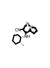 [C-]#[N+]c1cnn2cccc2c1N[C@H]1CCCC[C@H]1C